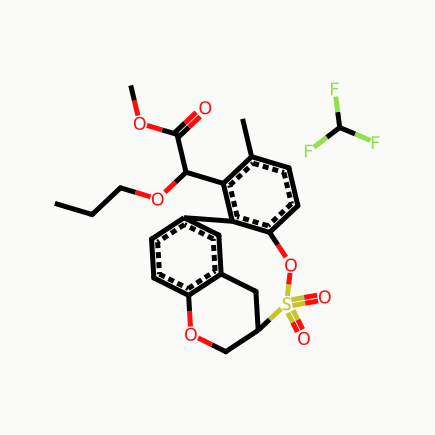 CCCOC(C(=O)OC)c1c(C)ccc2c1-c1ccc3c(c1)CC(CO3)S(=O)(=O)O2.FC(F)F